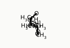 COOCCP(C)CC(=O)NC(C)(C)CCOC(C)(C)CCCC=O